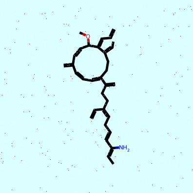 C=C/C=C1\C(=C/C)CC/C(C(=C)CC/C(C=C)=C/CC=C/C(N)=C/C)=C\C=C/C(=C)/C=C\C1OC